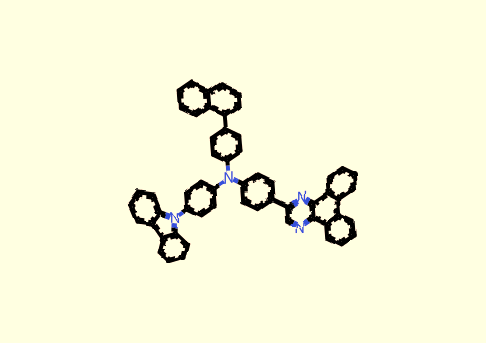 c1ccc2c(-c3ccc(N(c4ccc(-c5cnc6c7ccccc7c7ccccc7c6n5)cc4)c4ccc(-n5c6ccccc6c6ccccc65)cc4)cc3)cccc2c1